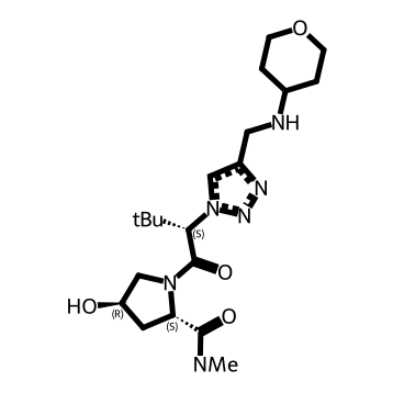 CNC(=O)[C@@H]1C[C@@H](O)CN1C(=O)[C@@H](n1cc(CNC2CCOCC2)nn1)C(C)(C)C